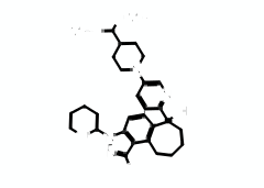 COC(OC)C1CCN(c2ccc(C3(O)CCCCc4c3ccc3c4c(F)nn3C3CCCCO3)nc2)CC1